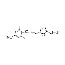 Cc1cc(C#N)cc(C)c1OCCCc1ccc(C=O)o1